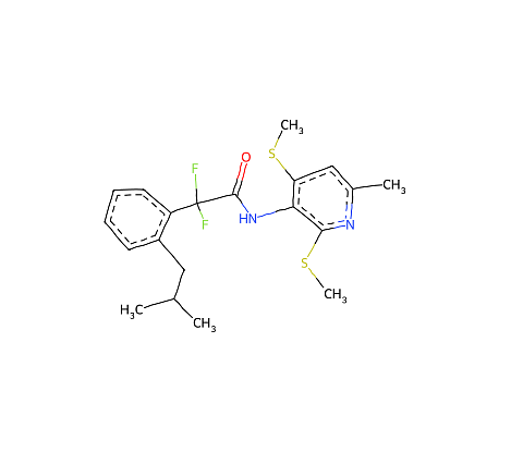 CSc1cc(C)nc(SC)c1NC(=O)C(F)(F)c1ccccc1CC(C)C